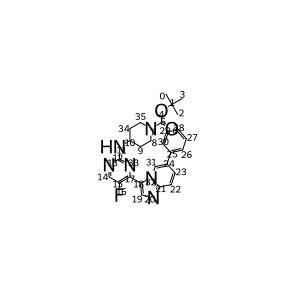 CC(C)(C)OC(=O)N1CCC(Nc2ncc(F)c(-c3cnc4ccc(-c5ccccc5)cn34)n2)CC1